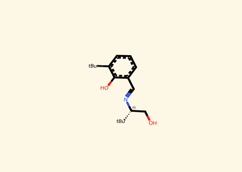 CC(C)(C)c1cccc(C=N[C@H](CO)C(C)(C)C)c1O